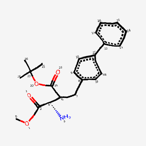 COC(=O)[C@@H](N)C(Cc1ccc(-c2ccccc2)cc1)C(=O)OC(C)(C)C